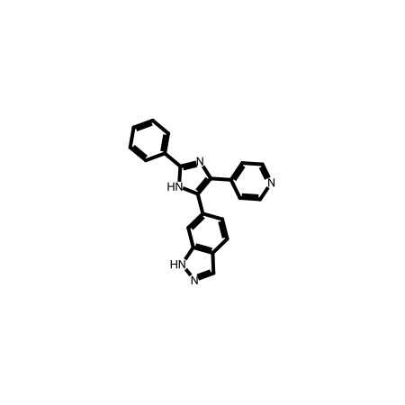 c1ccc(-c2nc(-c3ccncc3)c(-c3ccc4cn[nH]c4c3)[nH]2)cc1